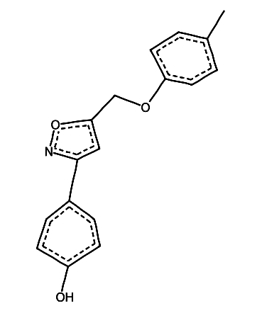 Cc1ccc(OCc2cc(-c3ccc(O)cc3)no2)cc1